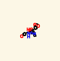 COc1ccc(CNC(=O)N(C)[C@H](CN2CCCC2)[C@H](O)c2ccc3c(c2)OCCO3)cc1